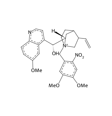 C=CC1C[N+]2(Cc3cc(OC)c(OC)cc3[N+](=O)[O-])CCC1C[C@H]2[C@H](O)c1ccnc2ccc(OC)cc12